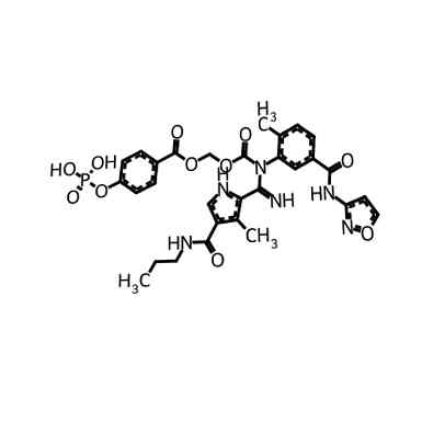 CCCNC(=O)c1c[nH]c(C(=N)N(C(=O)OCOC(=O)c2ccc(OP(=O)(O)O)cc2)c2cc(C(=O)Nc3ccon3)ccc2C)c1C